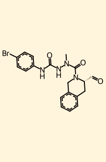 CN(NC(=O)Nc1ccc(Br)cc1)C(=O)N1Cc2ccccc2C[C@H]1C=O